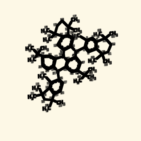 Cc1cc2c(cc1N1c3cc4c(cc3B3c5cc(C(C)(C)C)ccc5N(c5ccc6c(c5C)C(C)(C)CC6(C)C)c5cc(C(C)(C)C)cc1c53)C(C)(C)CCC4(C)C)C(C)(C)CCC2(C)C